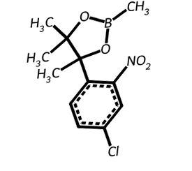 CB1OC(C)(C)C(C)(c2ccc(Cl)cc2[N+](=O)[O-])O1